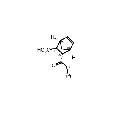 CC(C)OC(=O)[C@@H]1[C@@H](C(=O)O)[C@H]2C=C[C@@H]1C2